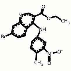 CCOC(=O)c1cnc2cc(Br)ccc2c1Nc1ccc(C)c([N+](=O)[O-])c1